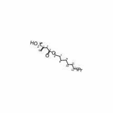 C=C(CC(=O)OCCCCCCCC(C)C)C(=O)O